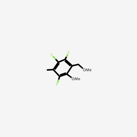 [CH2]c1c(F)c(F)c(COC)c(OC)c1F